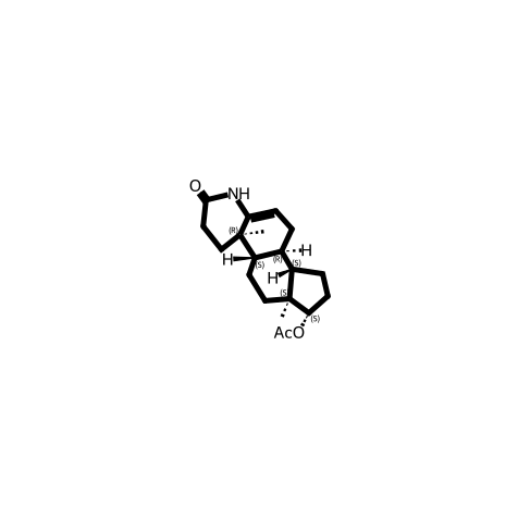 CC(=O)O[C@H]1CC[C@H]2[C@@H]3CC=C4NC(=O)CC[C@]4(C)[C@H]3CC[C@]12C